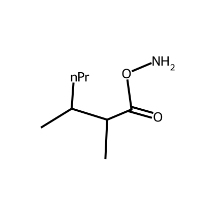 CCCC(C)C(C)C(=O)ON